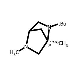 CN1C[C@@]2(C)CC1CN2C(C)(C)C